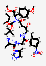 CCC(C)[C@](C(=O)OC)(c1ccc(OC)cc1)N(C(=O)CC(O)[C@H](Cc1ccc([N+](=O)[O-])cc1)NC(=O)[C@H](Cc1c[nH]cn1)NC(=O)C(C)N)C(=O)OC(C)(C)C